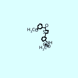 COc1cccc(C(=O)c2ccc(-c3cccc(NS(C)(=O)=O)c3)s2)c1